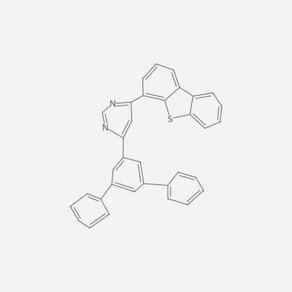 c1ccc(-c2cc(-c3ccccc3)cc(-c3cc(-c4cccc5c4sc4ccccc45)ncn3)c2)cc1